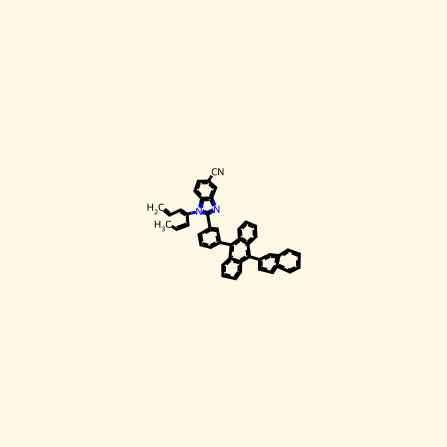 C=C/C=C(\C=C/C)n1c(-c2cccc(-c3c4ccccc4c(-c4ccc5ccccc5c4)c4ccccc34)c2)nc2cc(C#N)ccc21